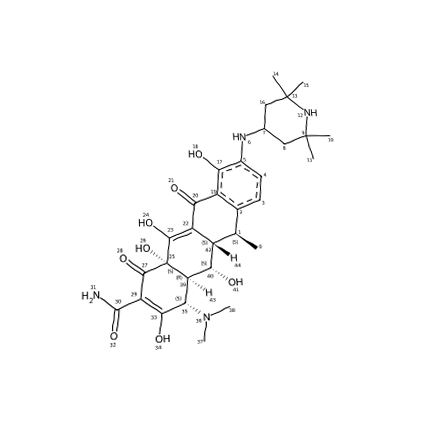 C[C@@H]1c2ccc(NC3CC(C)(C)NC(C)(C)C3)c(O)c2C(=O)C2=C(O)[C@]3(O)C(=O)C(C(N)=O)=C(O)[C@@H](N(C)C)[C@@H]3[C@@H](O)[C@H]21